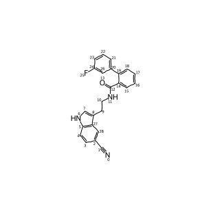 N#Cc1ccc2[nH]cc(CCNC(=O)c3ccccc3-c3cccc(F)c3)c2c1